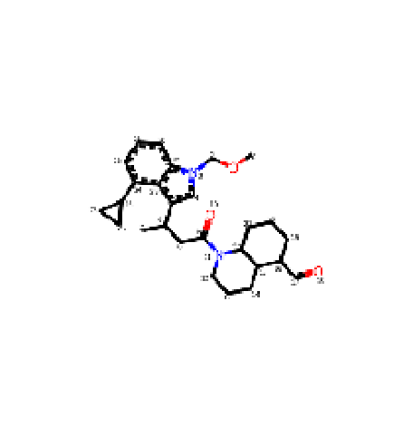 COCn1cc(C(C)CC(=O)N2CCCC3C(C=O)CCCC32)c2c(C3CC3)cccc21